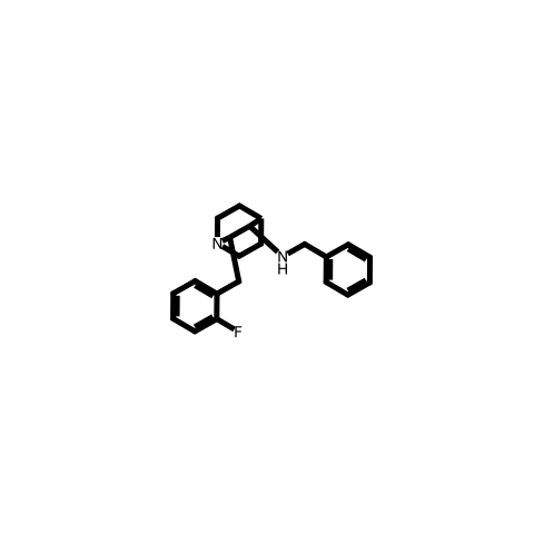 Fc1ccccc1CC1C(NCc2ccccc2)C2CCN1CC2